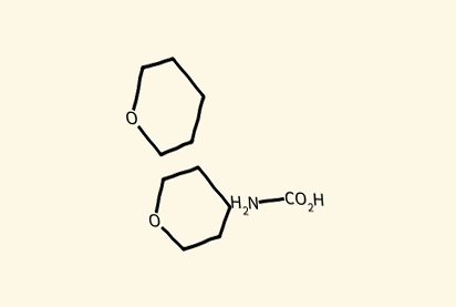 C1CCOCC1.C1CCOCC1.NC(=O)O